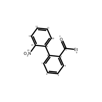 CCC(=O)c1ccccc1-c1ccccc1[N+](=O)[O-]